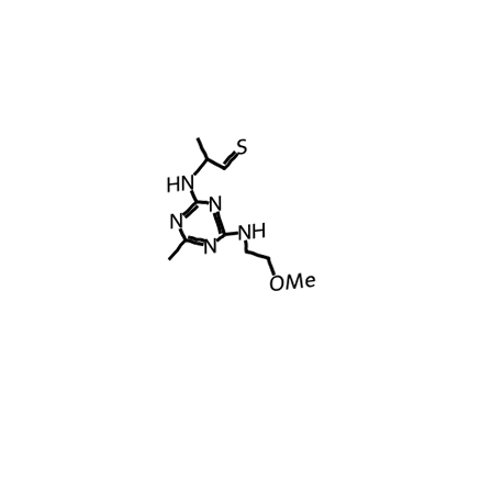 COCCNc1nc(C)nc(NC(C)C=S)n1